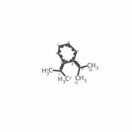 CC(C)=c1[c]cccc1=C(C)C